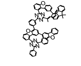 C=C/C=C\C=C(/C)c1nc(-c2cccc(-c3cc(-c4ccc5oc6ccccc6c5c4)cc4c3oc3cccc(-c5nc(-c6ccccc6)nc(-c6ccccc6)n5)c34)c2)nc(-c2cccc3oc4ccc(-c5cccc6c5-c5ccccc5C6(C)C)cc4c23)n1